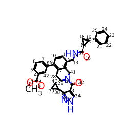 COC(=O)c1cccc(-c2ccc(CNC(=O)[C@H]3C[C@@H]3c3ccccc3)c3c2CCN(C(=O)c2c[nH]nc2C2CC2)C3)c1